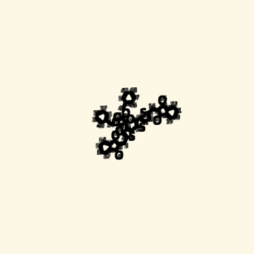 O=C1C(=Cc2cc3c(s2)-c2sc4cc(C=C5C(=O)c6ccccc6C5=O)sc4c2OC3(C(=O)OCc2ccccc2)C(=O)OCc2ccccc2)C(=O)c2ccccc21